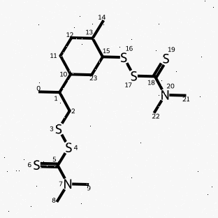 CC(CSSC(=S)N(C)C)C1CCC(C)C(SSC(=S)N(C)C)C1